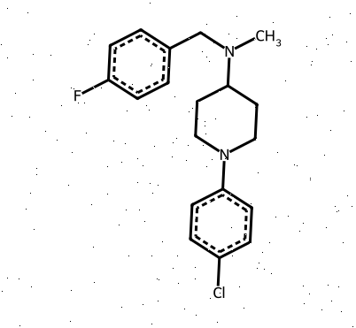 CN(Cc1ccc(F)cc1)C1CCN(c2ccc(Cl)cc2)CC1